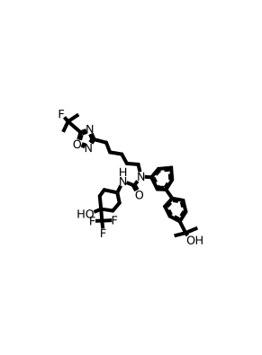 CC(C)(O)c1ccc(-c2cccc(N(CCCCCc3noc(C(C)(C)F)n3)C(=O)NC3CCC(O)(C(F)(F)F)CC3)c2)cc1